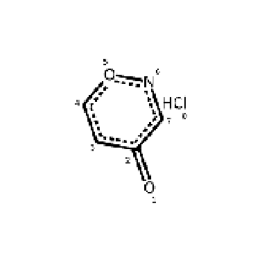 Cl.O=c1cconc1